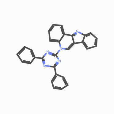 c1ccc(-c2nc(-c3ccccc3)nc(-n3cc4c5ccccc5nc-4c4ccccc43)n2)cc1